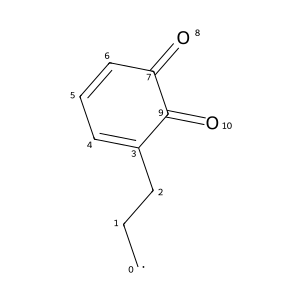 [CH2]CCC1=CC=CC(=O)C1=O